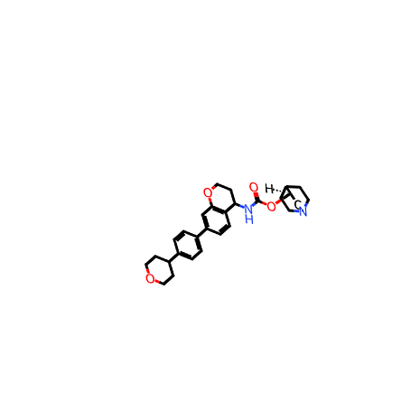 O=C(NC1CCOc2cc(-c3ccc(C4CCOCC4)cc3)ccc21)O[C@@H]1CN2CCC1CC2